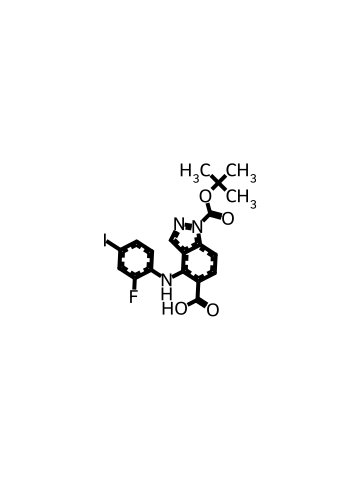 CC(C)(C)OC(=O)n1ncc2c(Nc3ccc(I)cc3F)c(C(=O)O)ccc21